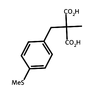 CSc1ccc(CC(C)(C(=O)O)C(=O)O)cc1